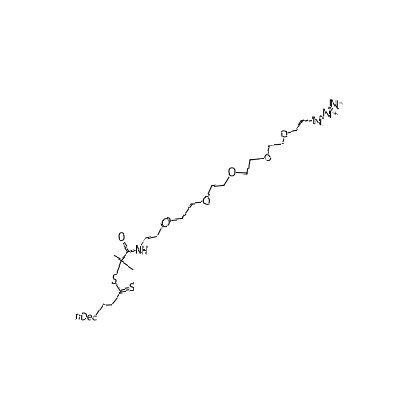 CCCCCCCCCCCCC(=S)SC(C)(C)C(=O)NCCOCCOCCOCCOCCOCCN=[N+]=[N-]